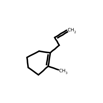 C=CCC1=C(C)CCCC1